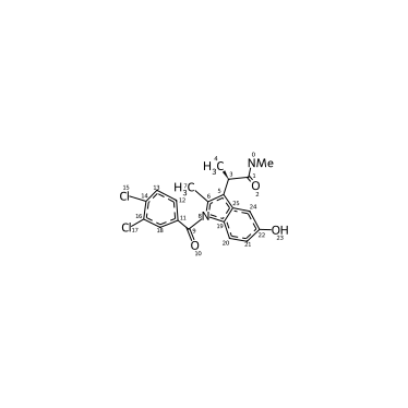 CNC(=O)[C@H](C)c1c(C)n(C(=O)c2ccc(Cl)c(Cl)c2)c2ccc(O)cc12